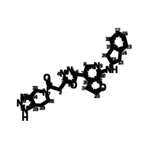 O=C(Cc1nnc(-c2cnc(NC3Cc4ccccc4C3)c3occc23)o1)N1CCc2[nH]nnc2C1